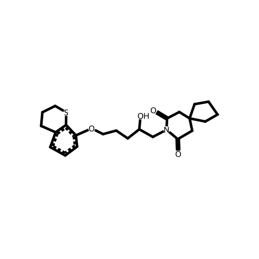 O=C1CC2(CCCC2)CC(=O)N1CC(O)CCCOc1cccc2c1SCCC2